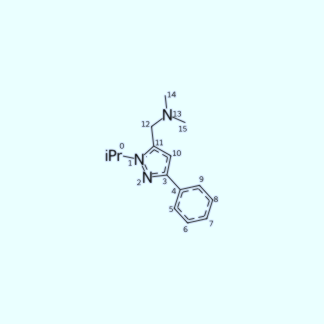 CC(C)n1nc(-c2ccccc2)cc1CN(C)C